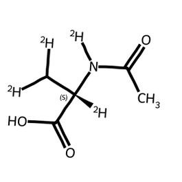 [2H]C([2H])[C@@]([2H])(C(=O)O)N([2H])C(C)=O